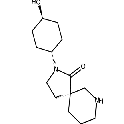 O=C1N([C@H]2CC[C@H](O)CC2)CC[C@]12CCCNC2